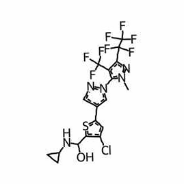 Cn1nc(C(F)(F)C(F)(F)F)c(C(F)(F)F)c1-n1cc(-c2cc(Cl)c(C(O)NC3CC3)s2)cn1